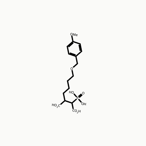 COc1ccc(COCCCCC(C(=O)O)C(C(=O)O)P(=O)(O)O)cc1